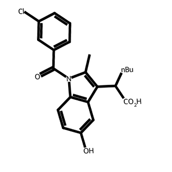 CCCCC(C(=O)O)c1c(C)n(C(=O)c2cccc(Cl)c2)c2ccc(O)cc12